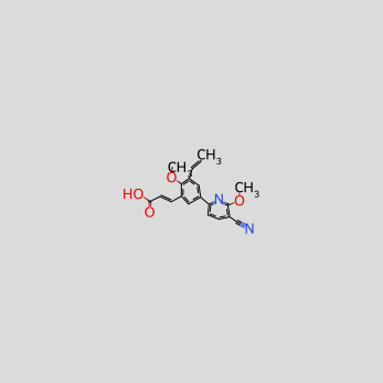 CC=Cc1cc(-c2ccc(C#N)c(OC)n2)cc(C=CC(=O)O)c1OC